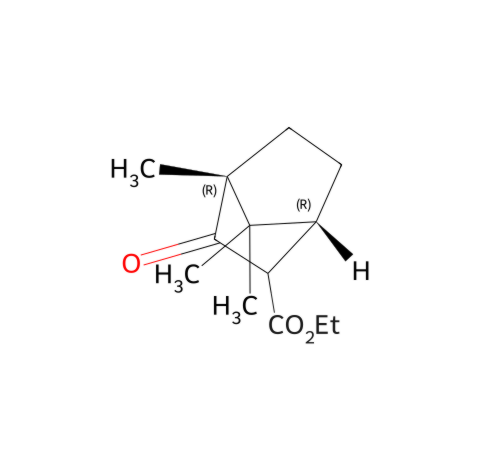 CCOC(=O)C1C(=O)[C@]2(C)CC[C@H]1C2(C)C